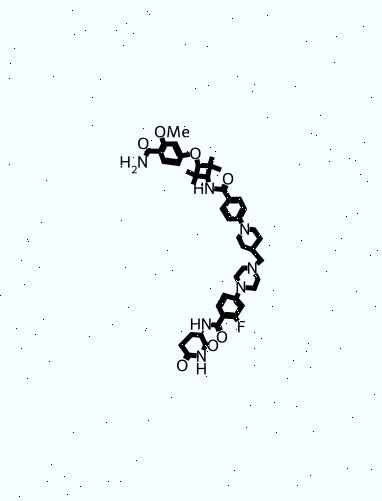 COc1cc(OC2C(C)(C)C(NC(=O)c3ccc(N4CCC(CN5CCN(c6ccc(C(=O)N[C@H]7CCC(=O)NC7=O)c(F)c6)CC5)CC4)cc3)C2(C)C)ccc1C(N)=O